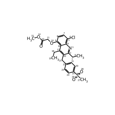 CCc1nc2c(Cl)ccc(OCC(=O)OC)c2c(CC)c1Cc1ccc(S(C)(=O)=O)cc1